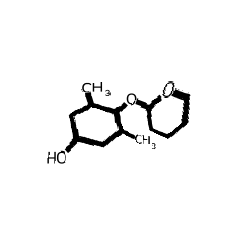 CC1CC(O)CC(C)C1OC1CCCCO1